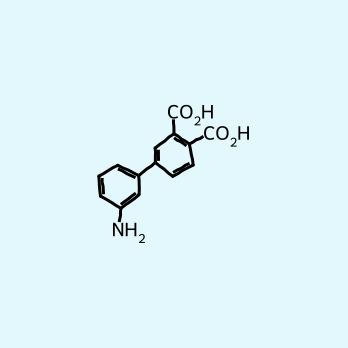 Nc1cccc(-c2ccc(C(=O)O)c(C(=O)O)c2)c1